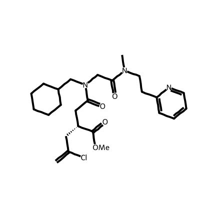 C=C(Cl)C[C@H](CC(=O)N(CC(=O)N(C)CCc1ccccn1)CC1CCCCC1)C(=O)OC